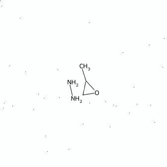 CC1CO1.NN